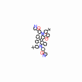 CC(C)(C)c1ccc(N(c2ccc3c(c2)oc2ncccc23)c2cc3c(c4oc5ccccc5c24)-c2c(cc(N(c4ccc(C(C)(C)C)cc4)C4CCC5c6cccnc6OC5C4)c4ccccc24)C3(c2ccccc2)c2ccccc2)cc1